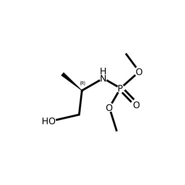 COP(=O)(N[C@H](C)CO)OC